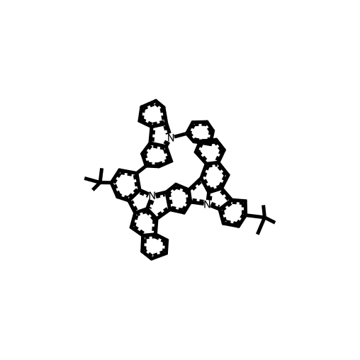 CC(C)(C)c1ccc2c(c1)c1cc3ccccc3c3c4cc5c(cc4n2c13)c1c2ccccc2cc2c3cc(C(C)(C)C)cc(-c4ccc6c(c4)c4ccccc4n6-c4ccccc4)c3n5c21